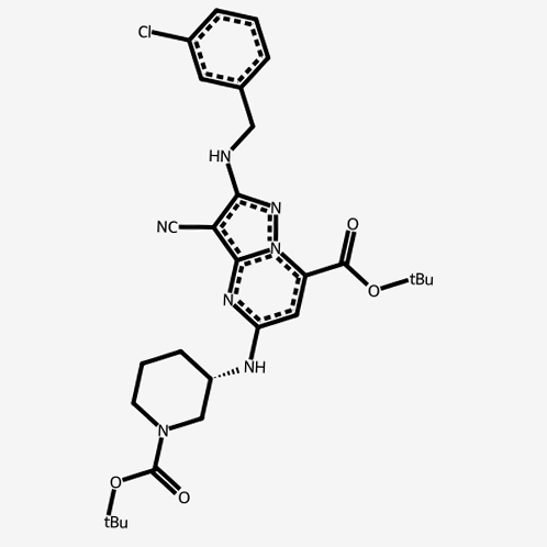 CC(C)(C)OC(=O)c1cc(N[C@H]2CCCN(C(=O)OC(C)(C)C)C2)nc2c(C#N)c(NCc3cccc(Cl)c3)nn12